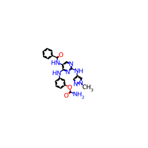 Cn1cc(Nc2ncc(NC(=O)c3ccccc3)c(Nc3cccc(OC(N)=O)c3)n2)cn1